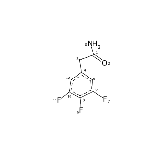 NC(=O)[CH]c1cc(F)c(F)c(F)c1